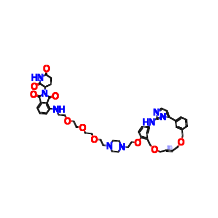 O=C1CCC(N2C(=O)c3cccc(NCCOCCOCCOCCN4CCN(CCOc5ccc6cc5COC/C=C/COCc5cccc(c5)-c5ccnc(n5)N6)CC4)c3C2=O)C(=O)N1